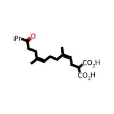 CC(=CCC(C(=O)O)C(=O)O)CCC=C(C)CCC(=O)C(C)C